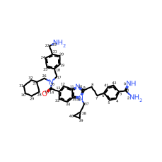 N=C(N)c1ccc(CCc2nc3cc(C(=O)N(Cc4ccc(CN)cc4)CC4CCCCC4)ccc3n2CC2CC2)cc1